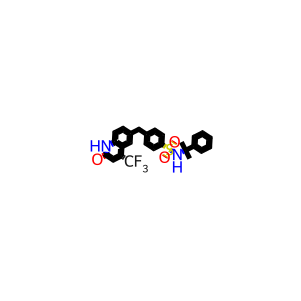 CC(C)(NS(=O)(=O)c1ccc(Cc2ccc3[nH]c(=O)cc(C(F)(F)F)c3c2)cc1)c1ccccc1